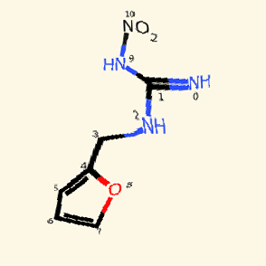 N=C(NCc1ccco1)N[N+](=O)[O-]